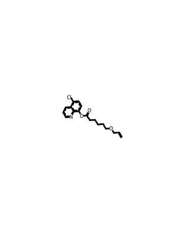 C=CCOCCCCCC(=O)Oc1ccc(Cl)c2cccnc12